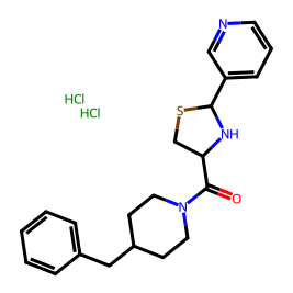 Cl.Cl.O=C(C1CSC(c2cccnc2)N1)N1CCC(Cc2ccccc2)CC1